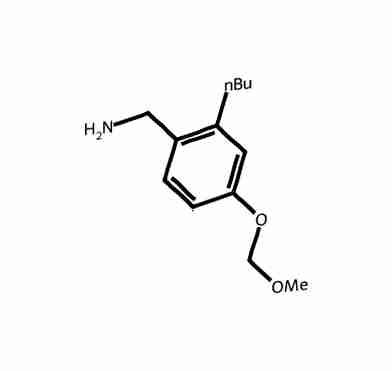 CCCCc1cc(OCOC)[c]cc1CN